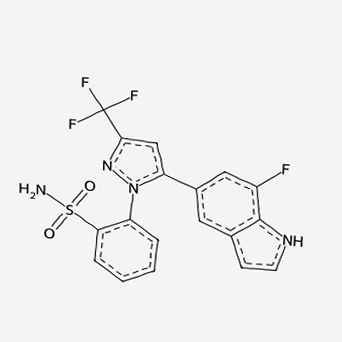 NS(=O)(=O)c1ccccc1-n1nc(C(F)(F)F)cc1-c1cc(F)c2[nH]ccc2c1